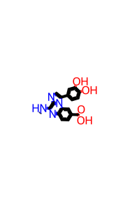 CNc1nc2ccc(C(=O)O)cc2n2c(-c3ccc(O)c(O)c3)cnc12